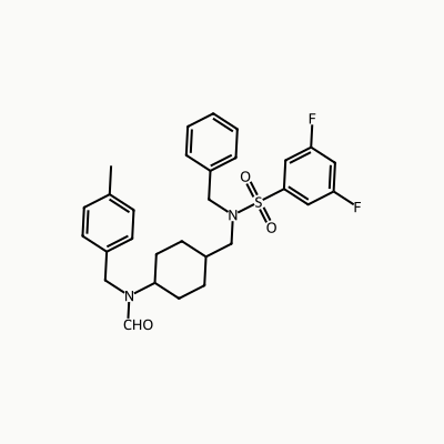 Cc1ccc(CN(C=O)C2CCC(CN(Cc3ccccc3)S(=O)(=O)c3cc(F)cc(F)c3)CC2)cc1